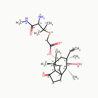 C=C[C@]1(C)C[C@@H](OC(=O)CSC(C)(C)C(N)C(=O)NC)[C@]2(C)C(C)CCC3(CCC(=O)C32)[C@@H](C)C1O